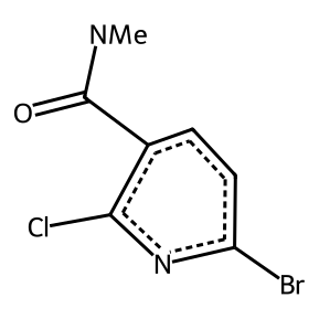 CNC(=O)c1ccc(Br)nc1Cl